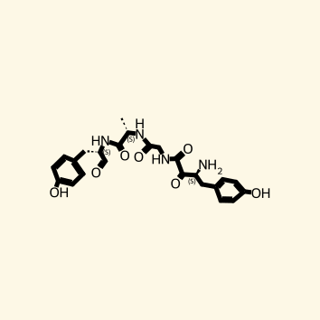 C[C@H](NC(=O)CNC(=O)C(=O)[C@@H](N)Cc1ccc(O)cc1)C(=O)N[C@H](C=O)Cc1ccc(O)cc1